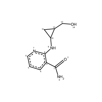 NC(=O)c1cccnc1NC1CC1CO